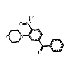 O=C(c1ccccc1)c1ccc([N+](=O)[O-])c(N2CCOCC2)c1